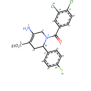 CCOC(=O)C1=C(N)CN(C(=O)c2ccc(Cl)c(Cl)c2)C(c2ccc(F)cc2)C1